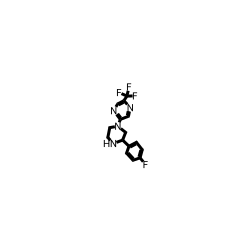 Fc1ccc(C2CN(c3cnc(C(F)(F)F)cn3)CCN2)cc1